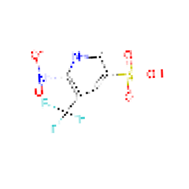 O=[N+]([O-])c1n[c]c(S(=O)(=O)O)cc1C(F)(F)F